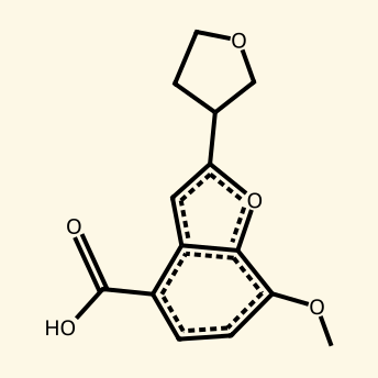 COc1ccc(C(=O)O)c2cc(C3CCOC3)oc12